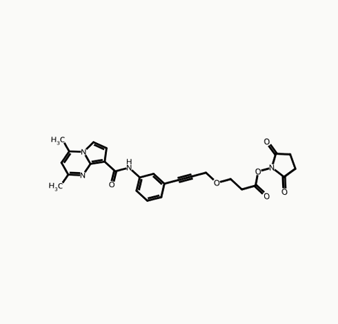 Cc1cc(C)n2ccc(C(=O)Nc3cccc(C#CCOCCC(=O)ON4C(=O)CCC4=O)c3)c2n1